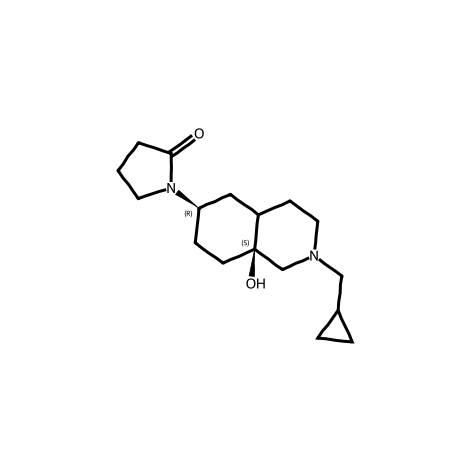 O=C1CCCN1[C@@H]1CC[C@@]2(O)CN(CC3CC3)CCC2C1